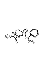 C=CC1(C(=O)OC(OC)c2ccccc2)CS[C@@H]2C(N)C(=O)N2C1